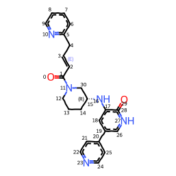 O=C(/C=C/Cc1ccccn1)N1CCC[C@@H](Nc2cc(-c3ccncc3)c[nH]c2=O)C1